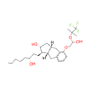 CCCCC[C@@H](O)CC[C@@H]1[C@H]2Cc3cccc(OCC(O)OC(C)(C)C(F)(F)F)c3C[C@H]2C[C@H]1O